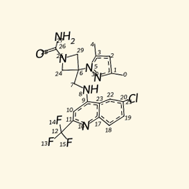 Cc1cc(C)n(C2(CNc3cc(C(F)(F)F)nc4ccc(Cl)cc34)CN(C(N)=O)C2)n1